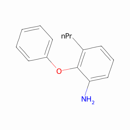 CCCc1cccc(N)c1Oc1ccccc1